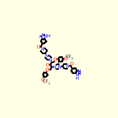 O=C(C(COc1ccc(OC(F)(F)F)cc1)N1CCN(C2CCN(C(=O)c3ccc4[nH]nnc4c3)CC2)CC1)C(COc1ccc(OC(F)(F)F)cc1)N1CCN(C2CCN(C(=O)c3ccc4[nH]nnc4c3)CC2)CC1